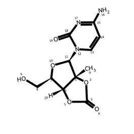 C[C@@]12OC(=O)O[C@@H]1[C@@H](CO)O[C@H]2n1ccc(N)nc1=O